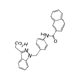 O=C(O)Cc1nn(Cc2ccc(NC(=O)c3ccc4ccccc4c3)cc2)c2ccccc12